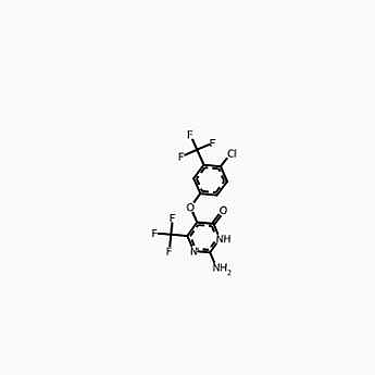 Nc1nc(C(F)(F)F)c(Oc2ccc(Cl)c(C(F)(F)F)c2)c(=O)[nH]1